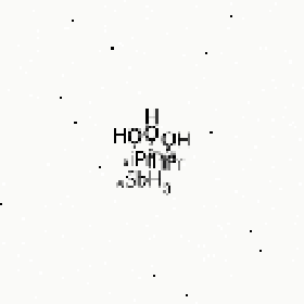 CC(C)O.CC(C)O.CC(C)O.[SbH3]